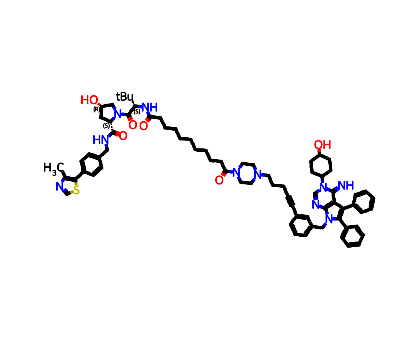 Cc1ncsc1-c1ccc(CNC(=O)[C@@H]2C[C@@H](O)CN2C(=O)[C@@H](NC(=O)CCCCCCCCCC(=O)N2CCN(CCCC#Cc3cccc(Cn4c(-c5ccccc5)c(-c5ccccc5)c5c(=N)n(C6CCC(O)CC6)cnc54)c3)CC2)C(C)(C)C)cc1